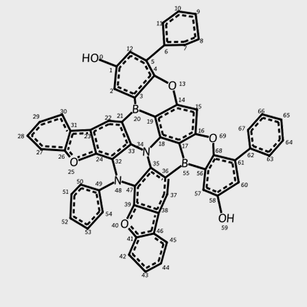 Oc1cc2c(c(-c3ccccc3)c1)Oc1cc3c4c5c1B2c1cc2c(oc6ccccc62)c2c1N5c1c(cc5c(oc6ccccc65)c1N2c1ccccc1)B4c1cc(O)cc(-c2ccccc2)c1O3